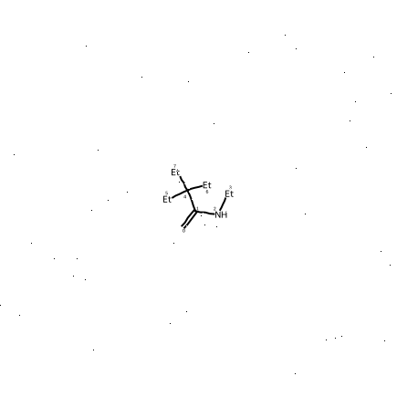 C=C(NCC)C(CC)(CC)CC